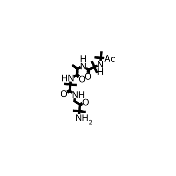 CC(=O)C(C)(C)NC(C)(C)C(=O)NC(C)C(=O)NC(C)(C)C(=O)NCC(=O)C(C)(C)N